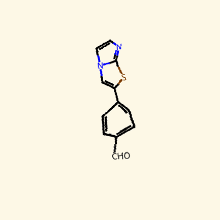 O=Cc1ccc(-c2cn3ccnc3s2)cc1